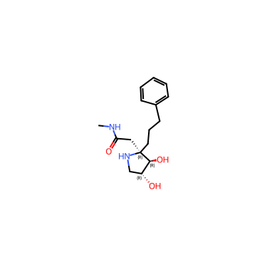 CNC(=O)C[C@@]1(CCCc2ccccc2)NC[C@@H](O)[C@@H]1O